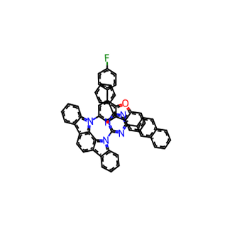 Fc1ccc(-c2cc(-n3c4ccccc4c4ccc5c6ccccc6n(-c6nc(-c7ccccc7)nc(-c7ccc8ccccc8c7)n6)c5c43)cc3c2oc2ccccc23)cc1